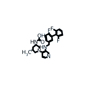 C[C@@H]1C[C@H](NC(=O)O)CN(c2ccncc2NCc2ccc(F)c(-c3c(F)cccc3F)c2)C1